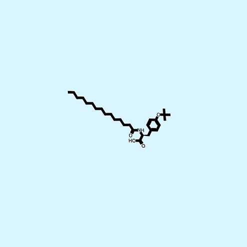 CCCCCCCCCCCCCCC(=O)N[C@@H](Cc1ccc(OC(C)(C)C)cc1)C(=O)O